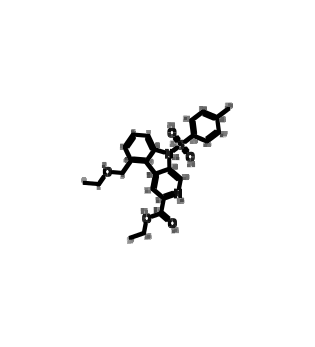 CCOCc1cccc2c1c1cc(C(=O)OCC)ncc1n2S(=O)(=O)c1ccc(C)cc1